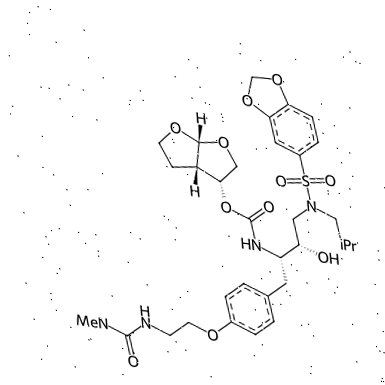 CNC(=O)NCCOc1ccc(C[C@H](NC(=O)O[C@H]2CO[C@H]3OCC[C@H]32)[C@@H](O)CN(CC(C)C)S(=O)(=O)c2ccc3c(c2)OCO3)cc1